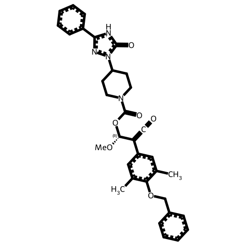 CO[C@H](OC(=O)N1CCC(n2nc(-c3ccccc3)[nH]c2=O)CC1)C(=C=O)c1cc(C)c(OCc2ccccc2)c(C)c1